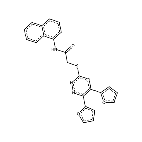 O=C(CSc1nnc(-c2ccco2)c(-c2ccco2)n1)Nc1cccc2ccccc12